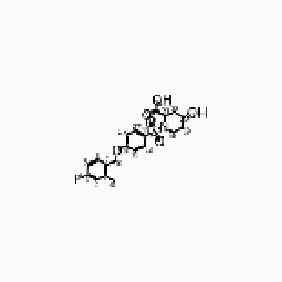 Cc1cc(F)ccc1COc1ccc(S(=O)(=O)N2CCC(O)CC2C(=O)O)cc1